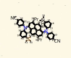 CC(C)c1cc(N(c2ccc(C#N)cc2)c2cccc([SiH](C)C)c2)c2ccc3c(C(C)C)cc(N(c4ccc(C#N)cc4)c4cccc(S(C)(C)C)c4)c4ccc1c2c34